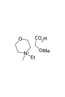 CC[N+]1(C)CCOCC1.COCC(=O)O